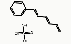 C=CC=CC=Cc1ccccc1.O=S(=O)(O)O